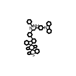 C1=C(c2cccc(-c3cccc4c3-c3ccccc3C43c4ccccc4C4(c5ccccc5Sc5ccccc54)c4ccccc43)c2)N=C(c2ccccc2)NC1c1ccc(-n2c3ccccc3c3ccccc32)cc1